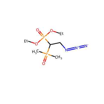 CCOP(=O)(OCC)C(CN=[N+]=[N-])P(C)(C)=O